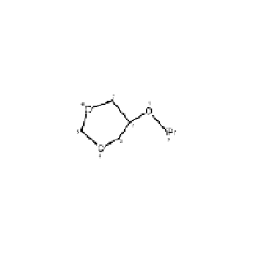 CC(C)OC1COCOC1